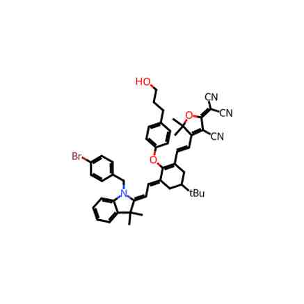 CC1(C)OC(=C(C#N)C#N)C(C#N)=C1/C=C/C1=C(Oc2ccc(CCCO)cc2)C(=C/C=C2\N(Cc3ccc(Br)cc3)c3ccccc3C2(C)C)/CC(C(C)(C)C)C1